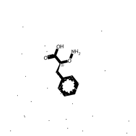 NO[C@@H](Cc1ccccc1)C(=O)O